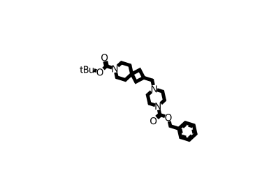 CC(C)(C)OC(=O)N1CCC2(CC1)CC(CN1CCN(C(=O)OCc3ccccc3)CC1)C2